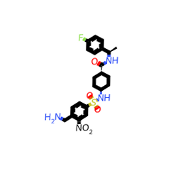 C[C@@H](NC(=O)[C@H]1CC[C@H](NS(=O)(=O)c2ccc(CN)c([N+](=O)[O-])c2)CC1)c1ccc(F)cc1